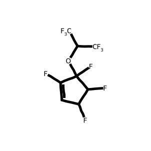 FC1=CC(F)C(F)C1(F)OC(C(F)(F)F)C(F)(F)F